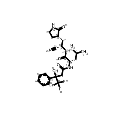 CC(C)C[C@H](NC(=O)CC(O)(c1ccccc1)C(F)(F)F)C(=O)N[C@H](C#N)C[C@@H]1CCNC1=O